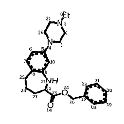 CCN1CCN(c2ccc3c(c2)NC(C(=O)OCc2ccccc2)CCC3)CC1